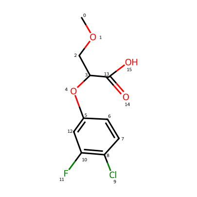 COCC(Oc1ccc(Cl)c(F)c1)C(=O)O